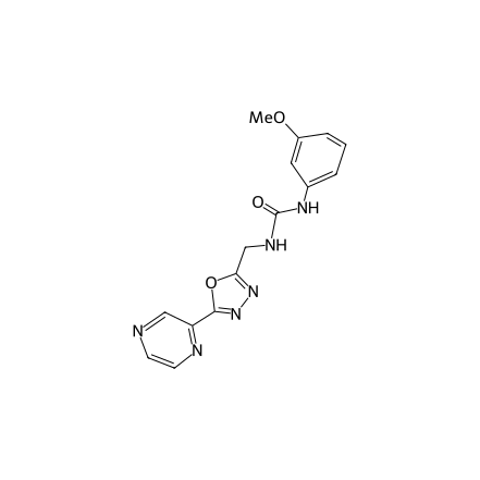 COc1cccc(NC(=O)NCc2nnc(-c3cnccn3)o2)c1